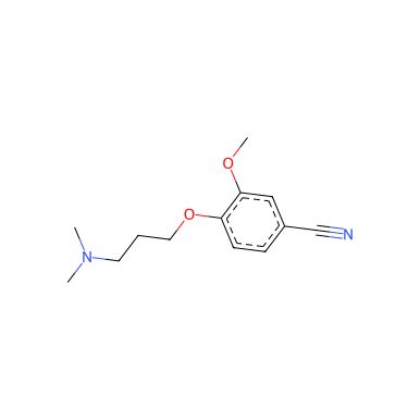 COc1cc(C#N)ccc1OCCCN(C)C